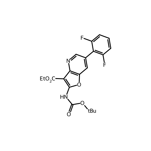 CCOC(=O)c1c(NC(=O)OC(C)(C)C)oc2cc(-c3c(F)cccc3F)cnc12